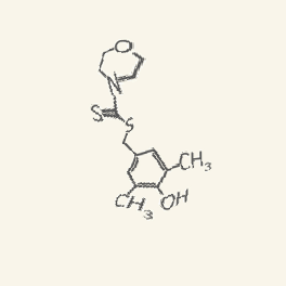 Cc1cc(CSC(=S)N2CCOCC2)cc(C)c1O